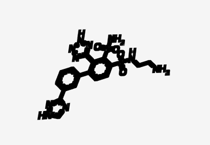 NCCNS(=O)(=O)c1ccc(-c2cccc(-c3nc[nH]n3)c2)c(-c2nn[nH]n2)c1S(N)(=O)=O